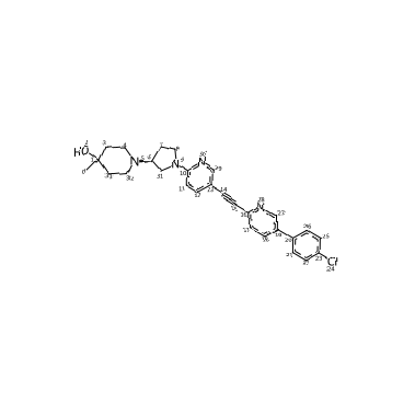 CC1(O)CCN([C@H]2CCN(c3ccc(C#Cc4ccc(-c5ccc(Cl)cc5)cn4)cn3)C2)CC1